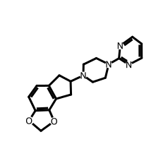 c1cnc(N2CCN(C3Cc4ccc5c(c4C3)OCO5)CC2)nc1